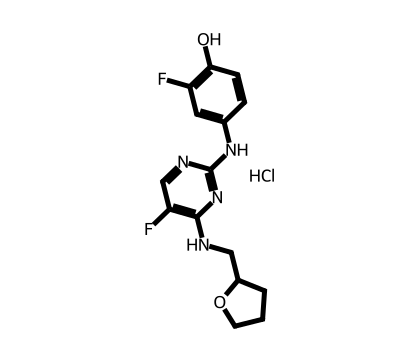 Cl.Oc1ccc(Nc2ncc(F)c(NCC3CCCO3)n2)cc1F